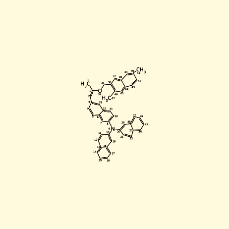 CC(=Cc1ccc2cc(N(c3ccc4ccccc4c3)c3ccc4ccccc4c3)ccc2c1)OCc1cc2cc(C)ccc2cc1C